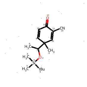 CC(O[Si](C)(C)C(C)(C)C)C1(C)C=CC(=O)C(C#N)=C1